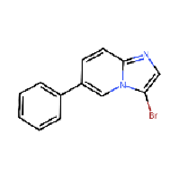 Brc1cnc2ccc(-c3ccccc3)cn12